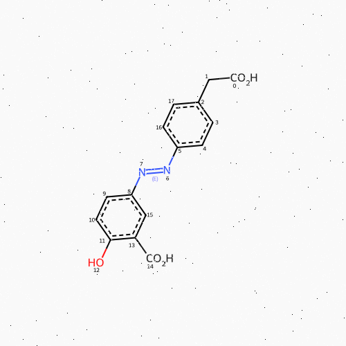 O=C(O)Cc1ccc(/N=N/c2ccc(O)c(C(=O)O)c2)cc1